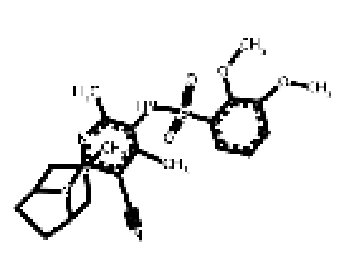 COc1cccc(S(=O)(=O)Nc2c(C)nc(N3C4CCC3CN(C)C4)c(C#N)c2C)c1OC